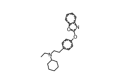 CCN(CCc1ccc(Oc2nc3ccccc3o2)cc1)C1CCCCC1